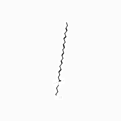 CCC=CCC=CCC=CCC=CCC=CCC=CCCC(=O)NCCCCO